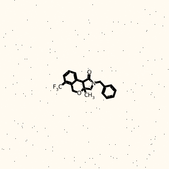 CC12CN(Cc3ccccc3)C(=O)C1c1cccc(C(F)(F)F)c1CO2